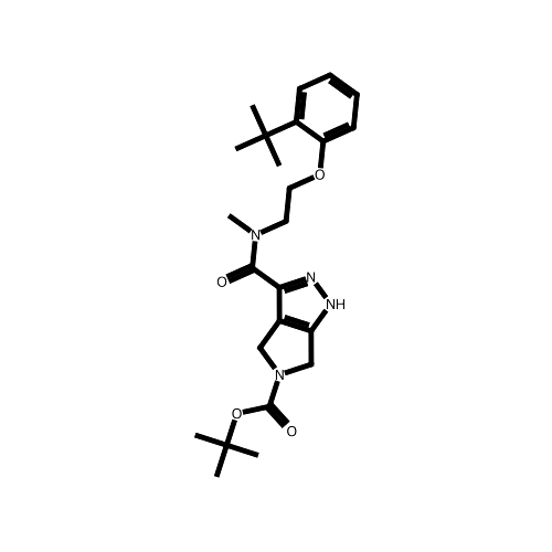 CN(CCOc1ccccc1C(C)(C)C)C(=O)c1n[nH]c2c1CN(C(=O)OC(C)(C)C)C2